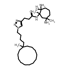 CC1(N)CCCC(C)(N)C(C)(NC(=O)CCc2cn(CCCCC3(C)CCCCCCCCCCCC3)nn2)C1